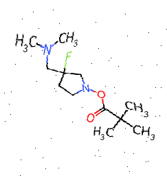 CN(C)CC1(F)CCN(OC(=O)C(C)(C)C)C1